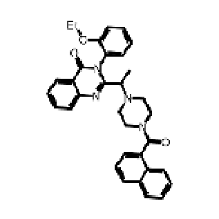 CCOc1ccccc1-n1c(C(C)N2CCN(C(=O)c3cccc4ccccc34)CC2)nc2ccccc2c1=O